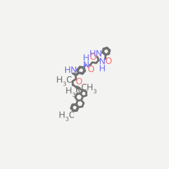 Cc1ccc2c(c1)CCC1C2CC[C@@]2(C)C1CCC2(C)C#CCC(C)C(=O)c1c[nH]c2cc(NC(=O)CCC3NC(=O)c4ccccc4NC3=O)ccc12